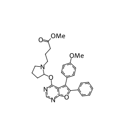 COC(=O)CCCN1CCCC1Oc1ncnc2oc(-c3ccccc3)c(-c3ccc(OC)cc3)c12